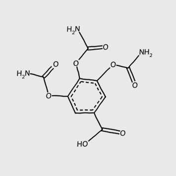 NC(=O)Oc1cc(C(=O)O)cc(OC(N)=O)c1OC(N)=O